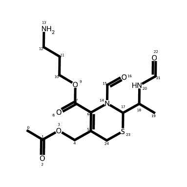 CC(=O)OCC1=C(C(=O)OCCCN)N(C=O)C(C(C)NC=O)SC1